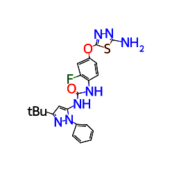 CC(C)(C)c1cc(NC(=O)Nc2ccc(Oc3nnc(N)s3)cc2F)n(-c2ccccc2)n1